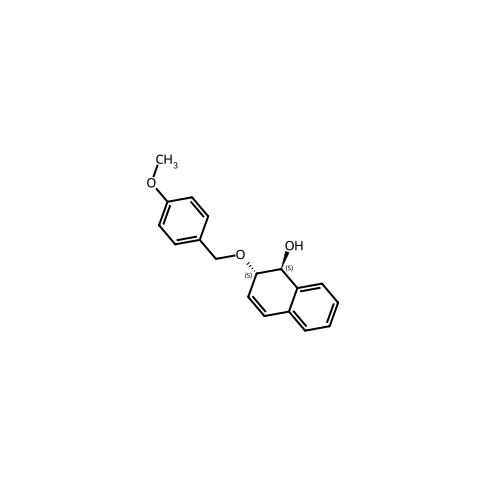 COc1ccc(CO[C@H]2C=Cc3ccccc3[C@@H]2O)cc1